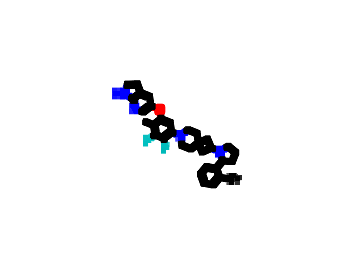 Cc1c(Oc2cnc3[nH]ccc3c2)cc(N2CCC3(CC2)CC(N2CCCC2c2ccccc2C(C)C)C3)c(F)c1F